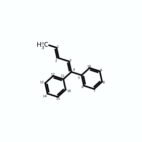 C/C=C/C=C(c1ccccc1)c1ccccc1